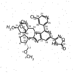 COC[C@@H]1CC[C@@H](COC)N1c1nc2cc(-c3noc(=O)[nH]3)nc(-c3cncc(Cl)c3)c2n1CC1CCC(C)CC1